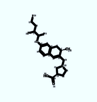 C[C@H]1Cc2cc(OC(F)C(F)CCF)ccc2C=C1CN1CC[C@@H](C(=O)O)C1